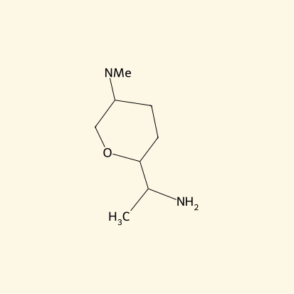 CNC1CCC(C(C)N)OC1